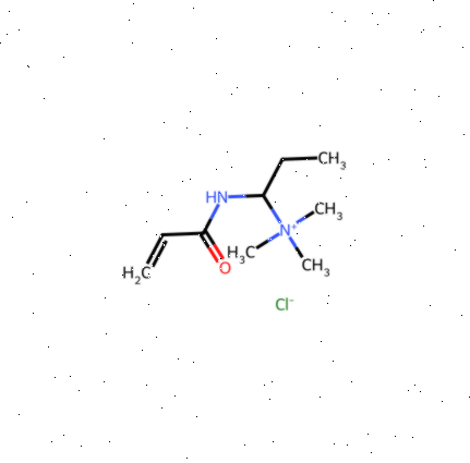 C=CC(=O)NC(CC)[N+](C)(C)C.[Cl-]